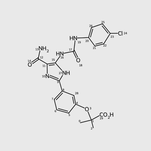 CC(C)(Oc1cccc(-c2nc(C(N)=O)c(NC(=O)Nc3ccc(Cl)cc3)[nH]2)c1)C(=O)O